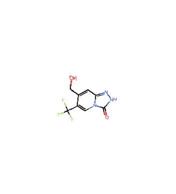 O=c1[nH]nc2cc(CO)c(C(F)(F)F)cn12